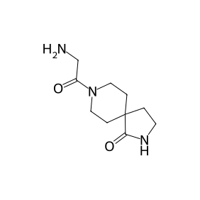 NCC(=O)N1CCC2(CCNC2=O)CC1